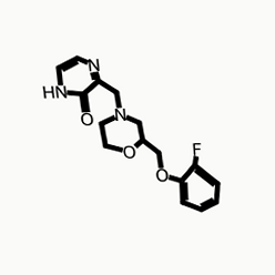 O=c1[nH]ccnc1CN1CCOC(COc2ccccc2F)C1